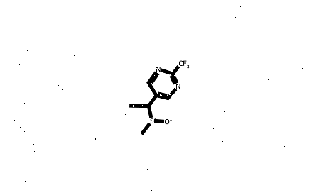 CC(c1cnc(C(F)(F)F)nc1)[S+](C)[O-]